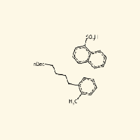 CCCCCCCCCCCCCCc1ccccc1C.O=S(=O)(O)c1cccc2ccccc12